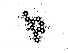 Cc1ccccc1-c1ccc2c(c1)c1cc(-c3ccccc3C)cc(-c3cc(Cl)cc(-n4c5ccc(-c6c(C)cccc6C)cc5c5c6ccccc6c(-c6c(C)cccc6C)cc54)c3Cl)c1n2C